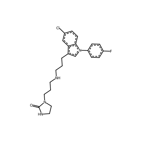 O=C1NCCN1CCCNCCCc1cn(-c2ccc(F)cc2)c2ccc(Cl)cc12